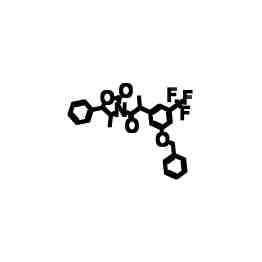 CC(C(=O)N1C(=O)OC(c2ccccc2)C1C)c1cc(OCc2ccccc2)cc(C(F)(F)F)c1